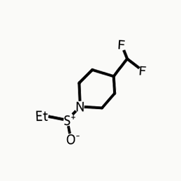 CC[S+]([O-])N1CCC(C(F)F)CC1